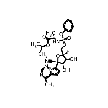 Cc1ncnn2c([C@]3(C#N)O[C@](F)(COP(=O)(N[C@H](C)C(=O)OC(C)C)Oc4ccccc4)[C@@H](O)[C@H]3O)ccc12